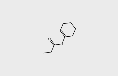 [CH2]CC(=O)OC1=CCCCC1